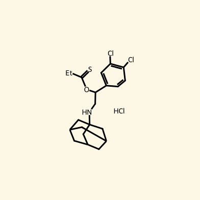 CCC(=S)OC(CNC12CC3CC(CC(C3)C1)C2)c1ccc(Cl)c(Cl)c1.Cl